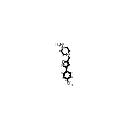 NN1CCN(Cc2cc(-c3ccc(C(F)(F)F)cc3)no2)CC1